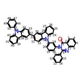 O=c1c2ccccc2nc(-c2ccccc2)n1-c1cccc(-n2c3ccccc3c3cc(-c4ccc5c(c4)c4ccccc4n5-c4ccccc4)ccc32)c1